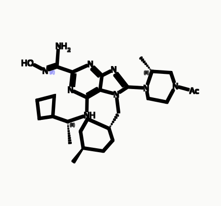 CC(=O)N1CCN(c2nc3nc(/C(N)=N/O)nc(N[C@H](C)C4CCC4)c3n2C[C@H]2CC[C@H](C)CC2)[C@H](C)C1